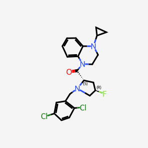 O=C([C@@H]1C[C@@H](F)CN1Cc1cc(Cl)ccc1Cl)N1CCN(C2CC2)c2ccccc21